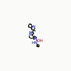 CC1(c2cc3n(n2)CCCC32CCN(C(O)NC34CC(C3)C4)C2)C=c2ccccc2=NC1